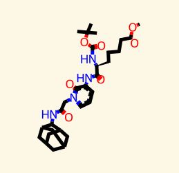 COC(=O)CCCC[C@H](NC(=O)OC(C)(C)C)C(=O)Nc1cccn(CC(=O)NC2C3CC4CC(C3)CC2C4)c1=O